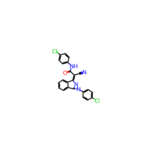 N#CC(C(=O)Nc1ccc(Cl)cc1)=C1c2ccccc2C2N1N2c1ccc(Cl)cc1